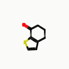 O=C1CCCc2ccsc21